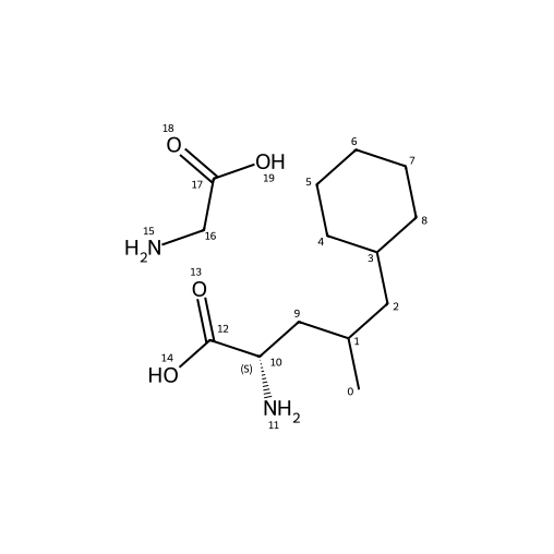 CC(CC1CCCCC1)C[C@H](N)C(=O)O.NCC(=O)O